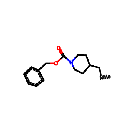 CNCC1CCN(C(=O)OCc2ccccc2)CC1